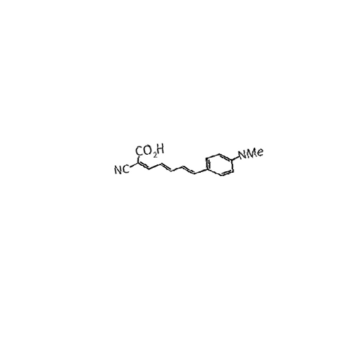 CNc1ccc(C=CC=CC=C(C#N)C(=O)O)cc1